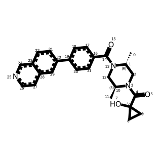 C[C@@H]1CN(C(=O)C2(O)CC2)[C@@H](C)CN1C(=O)c1ccc(-c2ccc3cnccc3c2)cc1